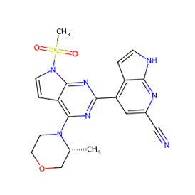 C[C@@H]1COCCN1c1nc(-c2cc(C#N)nc3[nH]ccc23)nc2c1ccn2S(C)(=O)=O